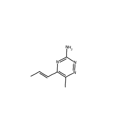 C/C=C/c1nc(N)nnc1C